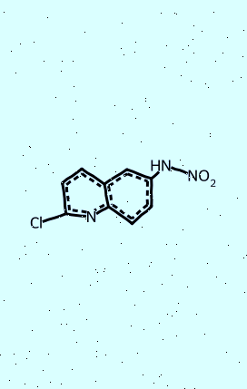 O=[N+]([O-])Nc1ccc2nc(Cl)ccc2c1